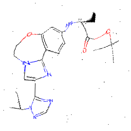 CC(C)n1ncnc1-c1cn2c(n1)-c1ccc(N[C@@H](C)C(=O)OC(C)(C)C)cc1OCC2